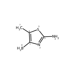 Bc1nc(N)sc1C